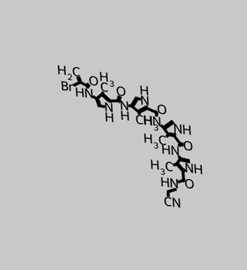 C=C(Br)C(=O)Nc1c[nH]c(C(=O)Nc2c[nH]c(C(=O)Nc3c[nH]c(C(=O)Nc4c[nH]c(C(=O)NCCC#N)c4C)c3C)c2C)c1C